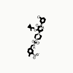 Cc1ccc(CNS(=O)(=O)N2CCN(c3cnn(-c4cccc(Cl)c4)c(=O)c3OCC3(C)CC3)CC2)cc1[N+](=O)[O-]